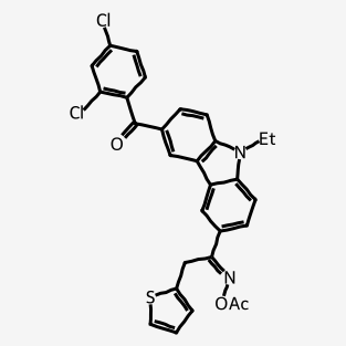 CCn1c2ccc(C(=O)c3ccc(Cl)cc3Cl)cc2c2cc(/C(Cc3cccs3)=N/OC(C)=O)ccc21